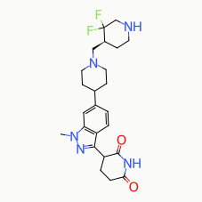 Cn1nc(C2CCC(=O)NC2=O)c2ccc(C3CCN(C[C@@H]4CCNCC4(F)F)CC3)cc21